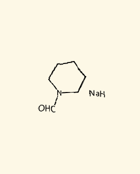 O=CN1CCCCC1.[NaH]